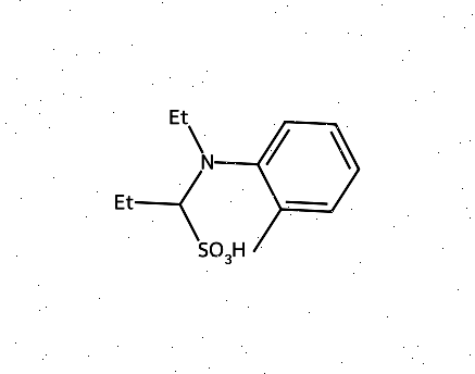 CCC(N(CC)c1ccccc1C)S(=O)(=O)O